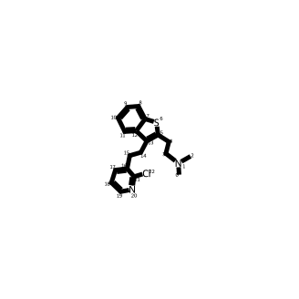 CN(C)CCc1sc2ccccc2c1CCc1cccnc1Cl